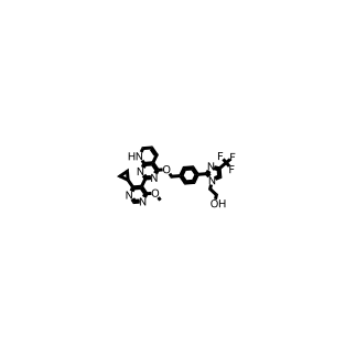 COc1ncnc(C2CC2)c1-c1nc2c(c(OCc3ccc(-c4nc(C(F)(F)F)cn4CCO)cc3)n1)C=CCN2